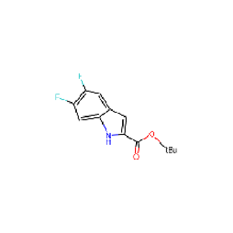 CC(C)(C)OC(=O)c1cc2cc(F)c(F)cc2[nH]1